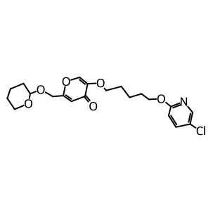 O=c1cc(COC2CCCCO2)occ1OCCCCCOc1ccc(Cl)cn1